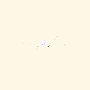 CCCCCCCCCCC(=O)NC[C@H](CC(=O)O)CC(C)C